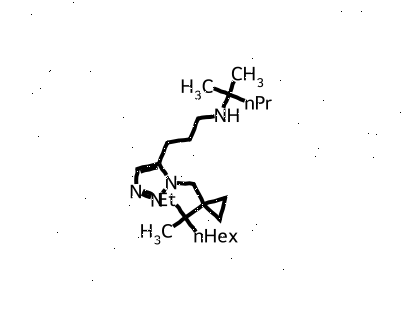 CCCCCCC(C)(CC)C1(Cn2nncc2CCCNC(C)(C)CCC)CC1